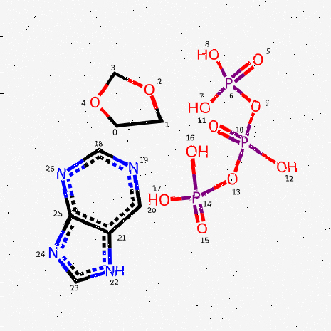 C1COCO1.O=P(O)(O)OP(=O)(O)OP(=O)(O)O.c1ncc2[nH]cnc2n1